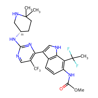 COC(=O)Nc1ccc2c(-c3nc(N[C@H]4CCC(C)(C)NC4)ncc3C(F)(F)F)c[nH]c2c1C(C)(F)F